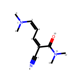 CN(C)/C=C\C=C(\C#N)C(=O)N(C)C